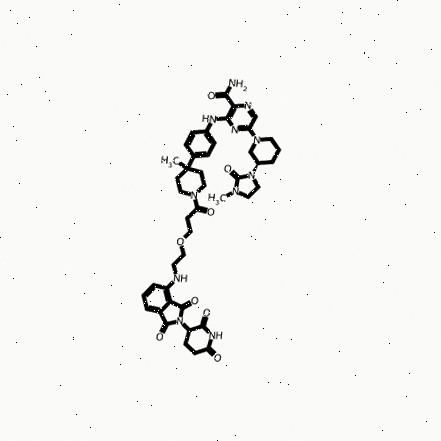 CN1CCN([C@@H]2CCCN(c3cnc(C(N)=O)c(Nc4ccc(C5(C)CCN(C(=O)CCOCCNc6cccc7c6C(=O)N(C6CCC(=O)NC6=O)C7=O)CC5)cc4)n3)C2)C1=O